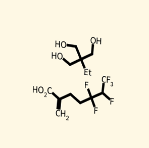 C=C(CCC(F)(F)C(F)C(F)(F)F)C(=O)O.CCC(CO)(CO)CO